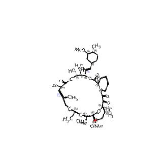 CC[C@@H]1/C=C(\C)CC[C@H](C)C[C@H](OC)[C@H]2O[C@@](O)(C(=O)C(=O)N3CCCC[C@H]3C(=O)O[C@H](/C(C)=C/[C@@H]3CC[C@@H](C)[C@H](OC)C3)[C@H](C)[C@@H](O)CC1=O)[C@H](C)C[C@@H]2OC